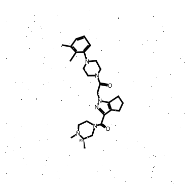 Cc1cccc(N2CCN(C(=O)Cn3nc(C(=O)N4CCN(C)[C@H](C)C4)c4c3CCC4)CC2)c1C